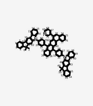 CC1(C)c2ccccc2-c2cc3c4ccccc4n(-c4ccc(-c5c6ccccc6c(-c6ccc(-n7c8ccccc8c8cc9c(cc87)C(C)(C)c7ccccc7-9)cc6)c6cc7c(cc56)c(-c5cccnc5)cc5ccccc57)cc4)c3cc21